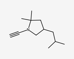 C#CN1CC(CC(C)C)CC1(C)C